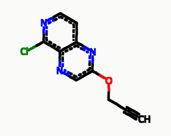 C#CCOc1cnc2c(Cl)nccc2n1